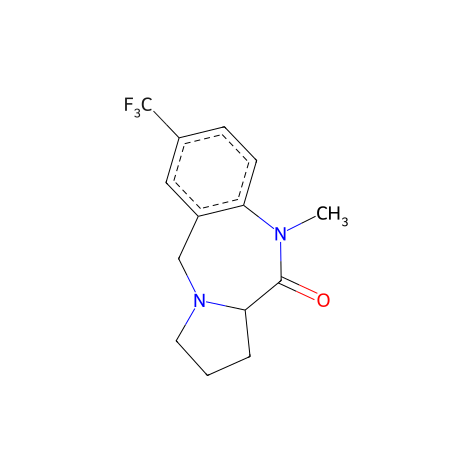 CN1C(=O)C2CCCN2Cc2cc(C(F)(F)F)ccc21